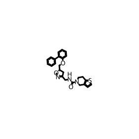 O=C(NCC1=NOC(COc2ccccc2-c2ccccc2)C1)N1CCc2sccc2C1